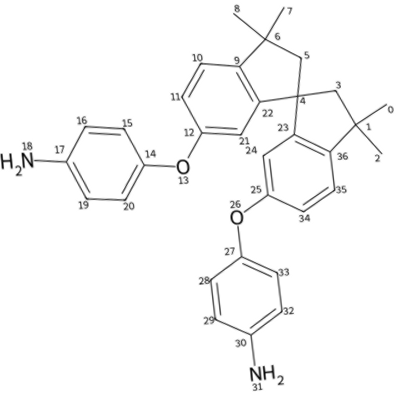 CC1(C)CC2(CC(C)(C)c3ccc(Oc4ccc(N)cc4)cc32)c2cc(Oc3ccc(N)cc3)ccc21